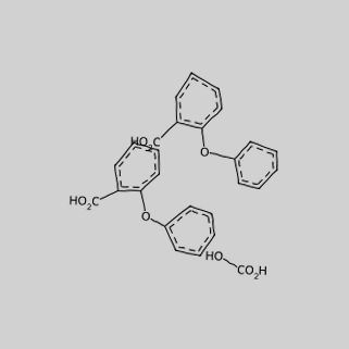 O=C(O)O.O=C(O)c1ccccc1Oc1ccccc1.O=C(O)c1ccccc1Oc1ccccc1